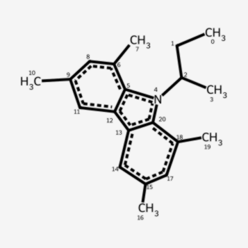 CCC(C)n1c2c(C)cc(C)cc2c2cc(C)cc(C)c21